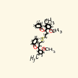 COc1ccc(C)cc1C(CCCSCCCC(Oc1ccccc1)c1cc(C)ccc1OC)Oc1ccccc1